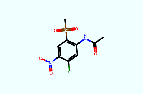 CC(=O)Nc1cc(Cl)c([N+](=O)[O-])cc1S(C)(=O)=O